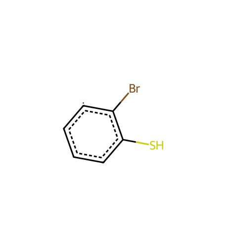 Sc1ccc[c]c1Br